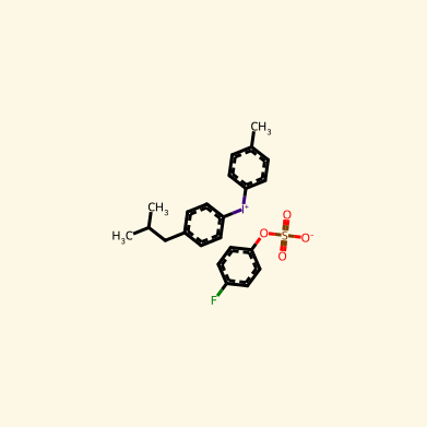 Cc1ccc([I+]c2ccc(CC(C)C)cc2)cc1.O=S(=O)([O-])Oc1ccc(F)cc1